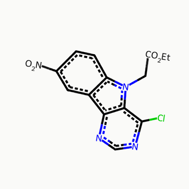 CCOC(=O)Cn1c2ccc([N+](=O)[O-])cc2c2ncnc(Cl)c21